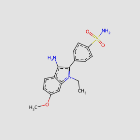 CCn1c(-c2ccc(S(N)(=O)=O)cc2)c(N)c2ccc(OC)cc21